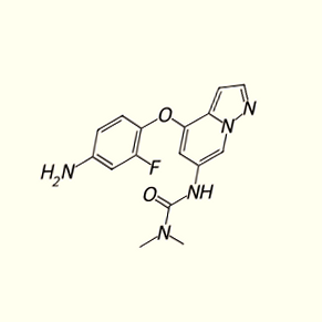 CN(C)C(=O)Nc1cc(Oc2ccc(N)cc2F)c2ccnn2c1